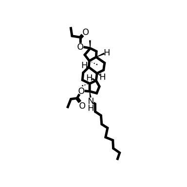 CCCCCCCCCCN[C@]1(OC(=O)CC)CC[C@H]2[C@@H]3CC[C@H]4C[C@@](C)(OC(=O)CC)C[C@]4(C)[C@H]3CC[C@@]21C